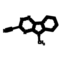 Cn1c2ccccc2c2nnc(C#N)nc21